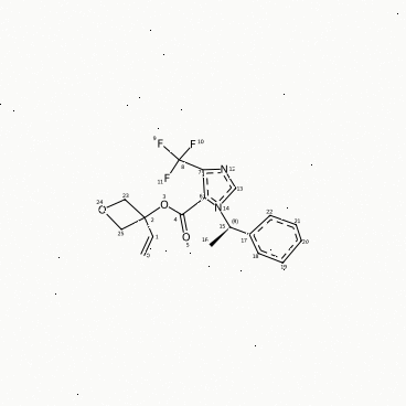 C=CC1(OC(=O)c2c(C(F)(F)F)ncn2[C@H](C)c2ccccc2)COC1